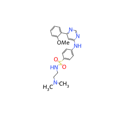 COc1ccccc1-c1cc(Nc2ccc(S(=O)(=O)NCCN(C)C)cc2)ncn1